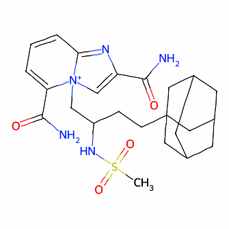 CS(=O)(=O)NC(CCC12CC3CC(CC(C3)C1)C2)C[N+]12C=C(C(N)=O)N=C1C=CC=C2C(N)=O